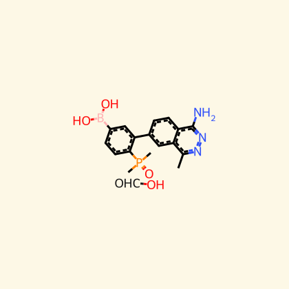 Cc1nnc(N)c2ccc(-c3cc(B(O)O)ccc3P(C)(C)=O)cc12.O=CO